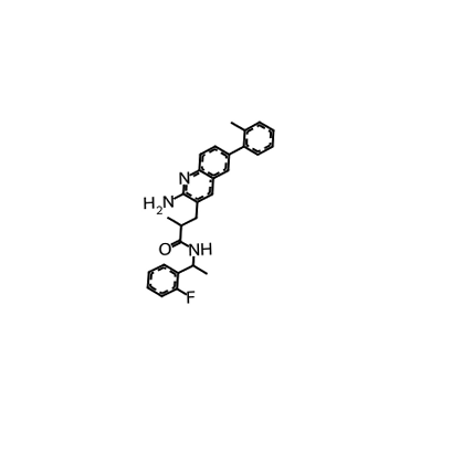 Cc1ccccc1-c1ccc2nc(N)c(CC(C)C(=O)NC(C)c3ccccc3F)cc2c1